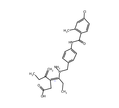 C=C(CC)/C(CC(=O)O)=C(/CC)N(N)Cc1ccc(NC(=O)c2ccc(Cl)cc2C)cc1